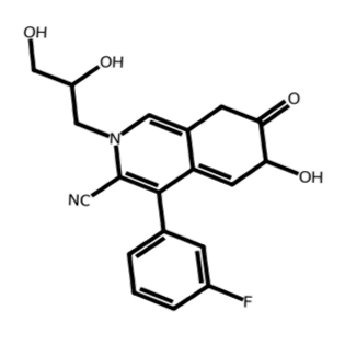 N#CC1=C(c2cccc(F)c2)C2=CC(O)C(=O)CC2=CN1CC(O)CO